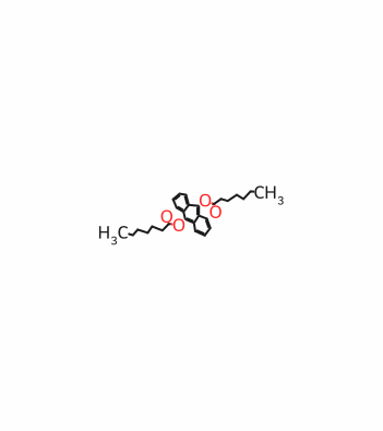 CCCCCCC(=O)Oc1c2ccccc2c(OC(=O)CCCCCC)c2ccccc12